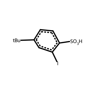 CC(C)(C)c1ccc(S(=O)(=O)O)c(I)c1